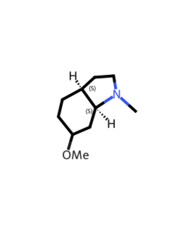 COC1CC[C@H]2CCN(C)[C@H]2C1